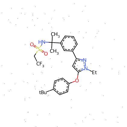 CCn1nc(-c2cccc(C(C)(C)NS(=O)(=O)CC(F)(F)F)c2)cc1Oc1ccc(C(C)(C)C)cc1